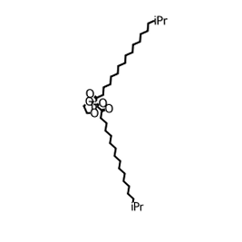 CC(C)CCCCCCCCCCCCCC[C](=O)[Ti]1(=[O])([C](=O)CCCCCCCCCCCCCCC(C)C)[O]CC[O]1